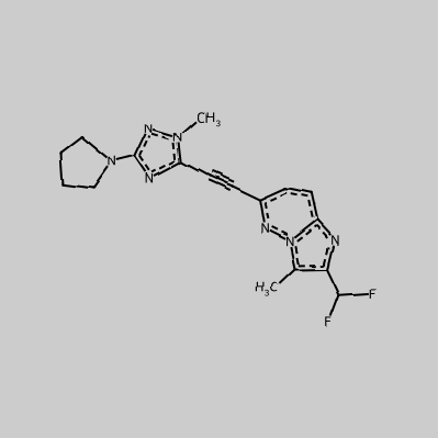 Cc1c(C(F)F)nc2ccc(C#Cc3nc(N4CCCC4)nn3C)nn12